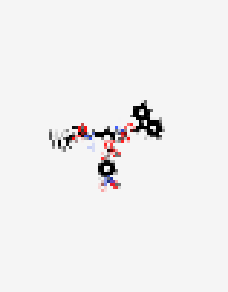 CC(C)(C)OC(=O)NCCCC(COC(=O)Oc1ccc([N+](=O)[O-])cc1)NC(=O)OCC1c2ccccc2-c2ccccc21